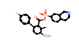 Cc1c(C(=O)O)ccc(-c2ccc(F)cc2)c1C(=O)OS(=O)(=O)c1ccc2ccncc2c1